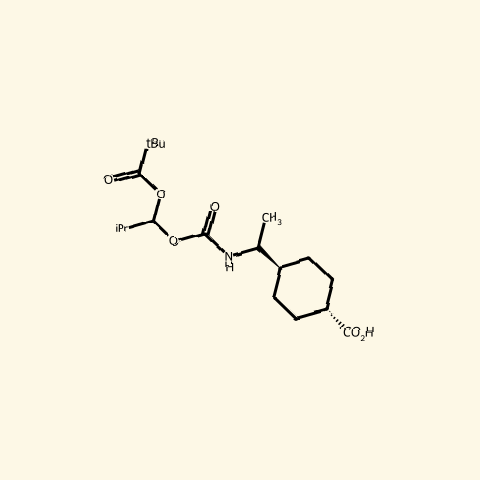 CC(C)C(OC(=O)NC(C)[C@H]1CC[C@H](C(=O)O)CC1)OC(=O)C(C)(C)C